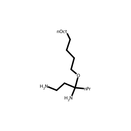 CCCCCCCCCCCCOC(N)(CCC)CCN